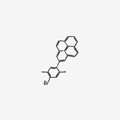 Cc1cc(-c2cc3ccc4cccc5ccc(c2)c3c45)c(C)cc1Br